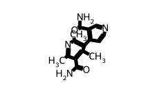 Cc1nc(C)c(-c2ccncc2C(N)=O)c(C)c1C(N)=O